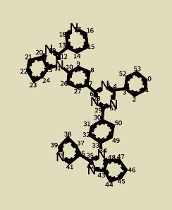 c1ccc(-c2nc(-c3ccc(-n4c(-c5cccnc5)nc5ccccc54)cc3)nc(-c3ccc(-n4c(-c5cccnc5)nc5ccccc54)cc3)n2)cc1